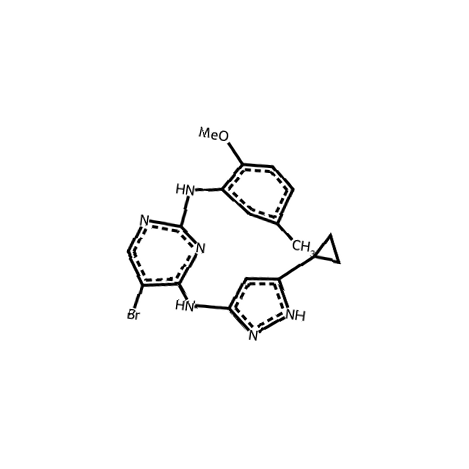 COc1ccc(C)cc1Nc1ncc(Br)c(Nc2cc(C3CC3)[nH]n2)n1